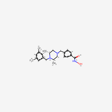 C[C@@H]1CN(Cc2ccc(C(=O)NO)cc2)C[C@H](C)N1Cc1cc(C(F)(F)F)cc(C(F)(F)F)c1